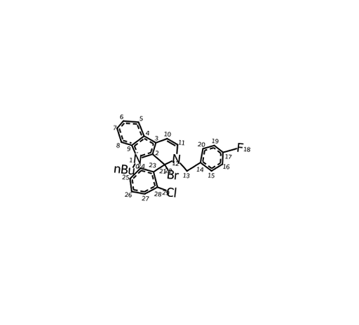 CCCCn1c2c(c3ccccc31)C=CN(Cc1ccc(F)cc1)C2(Br)c1ccccc1Cl